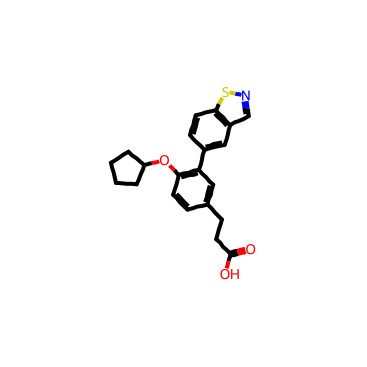 O=C(O)CCc1ccc(OC2CCCC2)c(-c2ccc3sncc3c2)c1